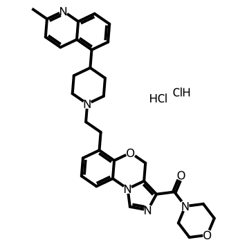 Cc1ccc2c(C3CCN(CCc4cccc5c4OCc4c(C(=O)N6CCOCC6)ncn4-5)CC3)cccc2n1.Cl.Cl